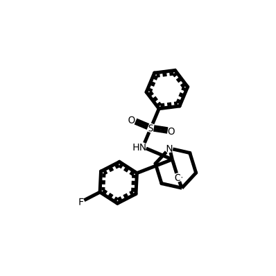 O=S(=O)(NC1(c2ccc(F)cc2)[CH]C2CCN1CC2)c1ccccc1